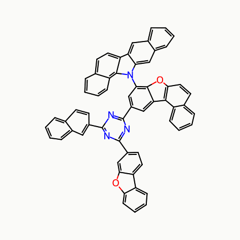 c1ccc2cc(-c3nc(-c4ccc5c(c4)oc4ccccc45)nc(-c4cc(-n5c6cc7ccccc7cc6c6ccc7ccccc7c65)c5oc6ccc7ccccc7c6c5c4)n3)ccc2c1